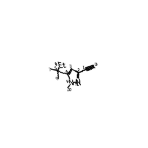 C#Cc1cc(C(C)(C)CC)n(C)n1